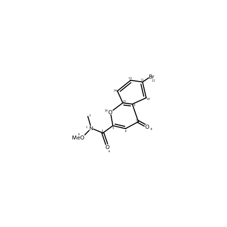 CON(C)C(=O)c1cc(=O)c2cc(Br)ccc2o1